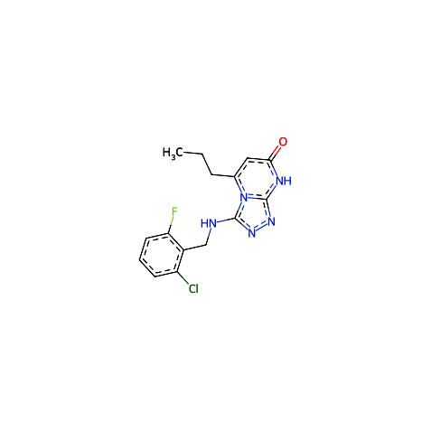 CCCc1cc(=O)[nH]c2nnc(NCc3c(F)cccc3Cl)n12